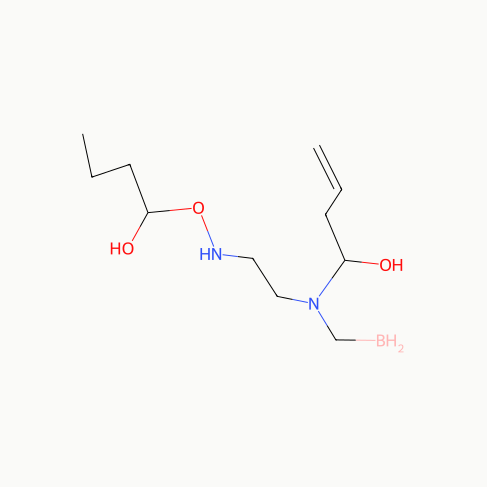 BCN(CCNOC(O)CCC)C(O)CC=C